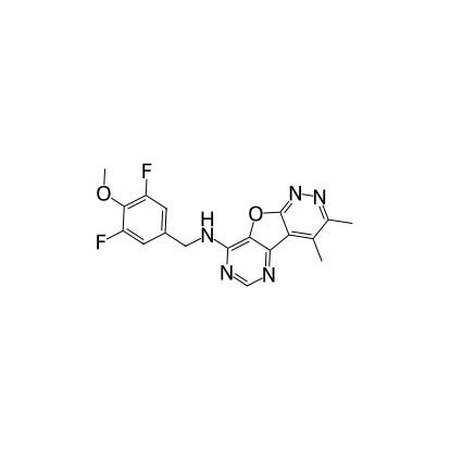 COc1c(F)cc(CNc2ncnc3c2oc2nnc(C)c(C)c23)cc1F